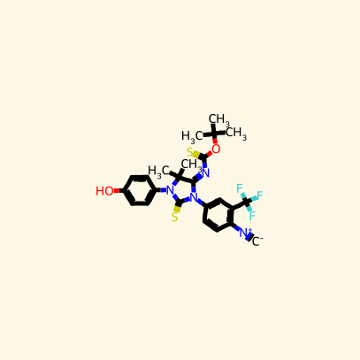 [C-]#[N+]c1ccc(N2C(=S)N(c3ccc(O)cc3)C(C)(C)C2=NC(=S)OC(C)(C)C)cc1C(F)(F)F